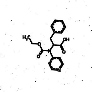 CCOC(=O)N(c1ccncc1)C(Cc1ccccc1)C(=O)O